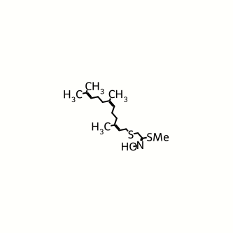 CSC(CSCC=C(C)CCC=C(C)CCC=C(C)C)=NO